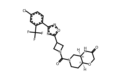 O=C1CO[C@H]2CCN(C(=O)N3CC(c4nc(-c5ccc(Cl)cc5C(F)(F)F)no4)C3)C[C@H]2N1